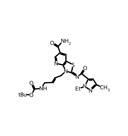 CCn1nc(C)cc1C(=O)/N=c1\sc2cc(C(N)=O)cnc2n1C/C=C/CNC(=O)OC(C)(C)C